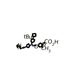 Cc1cc(OC/C=C(/c2ccc(C#CCn3cccn3)cc2)c2ccc(-c3ccccc3C(C)(C)C)cc2)ccc1OCC(=O)O